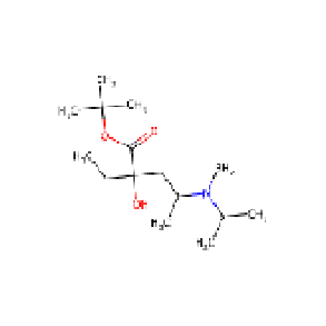 BN(C(C)C)C(C)CC(O)(CC)C(=O)OC(C)(C)C